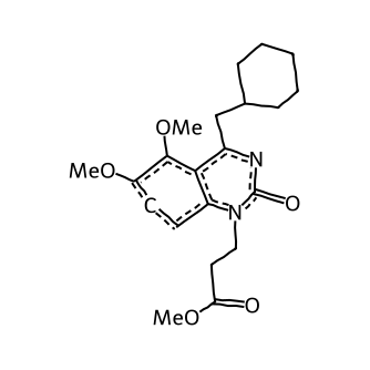 COC(=O)CCn1c(=O)nc(CC2CCCCC2)c2c(OC)c(OC)ccc21